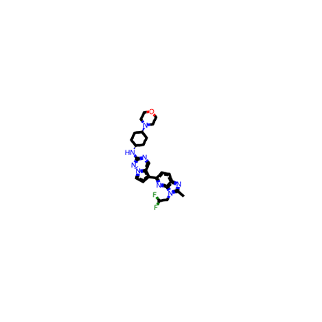 Cc1nc2ccc(-c3ccn4nc(N[C@H]5CC[C@H](N6CCOCC6)CC5)ncc34)nc2n1CC(F)F